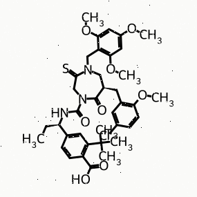 CC[C@@H](NC(=O)N1CC(=S)N(Cc2c(OC)cc(OC)cc2OC)C[C@@H](Cc2cc(Cl)ccc2OC)C1=O)c1ccc(C(=O)O)c(C(C)(C)C)c1